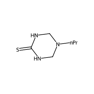 CCCN1CNC(=S)NC1